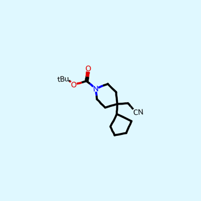 CC(C)(C)OC(=O)N1CCC(CC#N)(C2CCCC2)CC1